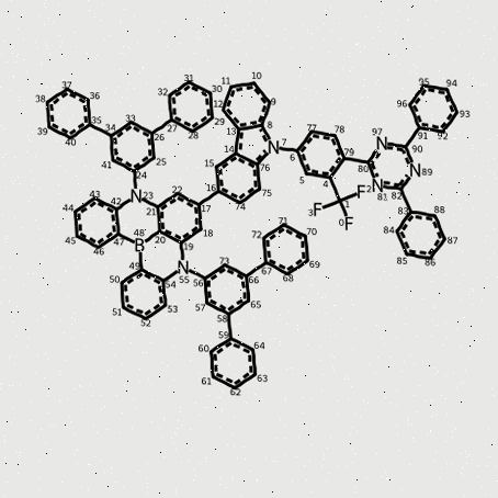 FC(F)(F)c1cc(-n2c3ccccc3c3cc(-c4cc5c6c(c4)N(c4cc(-c7ccccc7)cc(-c7ccccc7)c4)c4ccccc4B6c4ccccc4N5c4cc(-c5ccccc5)cc(-c5ccccc5)c4)ccc32)ccc1-c1nc(-c2ccccc2)nc(-c2ccccc2)n1